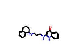 O=c1cc(NCCCN[C@@H]2CCCc3ccccc32)[nH]c2ccccc12